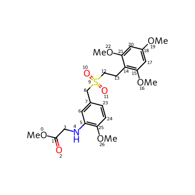 COC(=O)CNc1cc(CS(=O)(=O)CCc2c(OC)cc(OC)cc2OC)ccc1OC